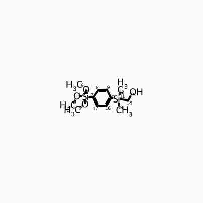 CO[Si](OC)(OC)c1ccc([Si](C)(C)CO)cc1